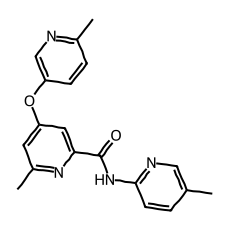 Cc1ccc(NC(=O)c2cc(Oc3ccc(C)nc3)cc(C)n2)nc1